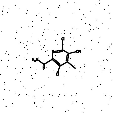 Cc1c(Cl)c(NN)nc(Cl)c1C#N